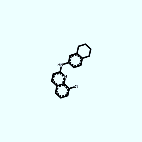 Clc1cccc2ccc(Nc3ccc4c(c3)CCCC4)nc12